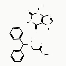 Cn1c(=O)c2c(ncn2C)n(C)c1=O.O=C(C[S+]([O-])C(c1ccccc1)c1ccccc1)NO